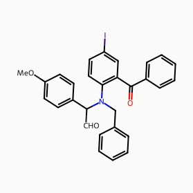 COc1ccc(C(C=O)N(Cc2ccccc2)c2ccc(I)cc2C(=O)c2ccccc2)cc1